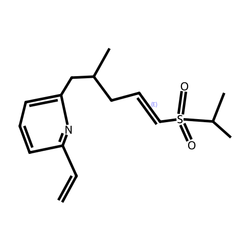 C=Cc1cccc(CC(C)C/C=C/S(=O)(=O)C(C)C)n1